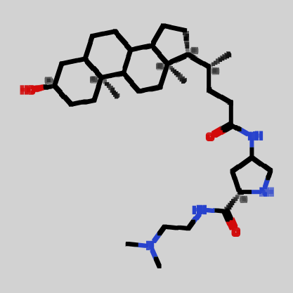 C[C@H](CCC(=O)NC1CN[C@H](C(=O)NCCN(C)C)C1)[C@H]1CCC2C3CCC4C[C@H](O)CC[C@]4(C)C3CC[C@@]21C